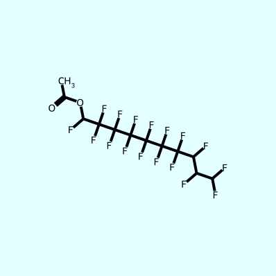 CC(=O)OC(F)C(F)(F)C(F)(F)C(F)(F)C(F)(F)C(F)(F)C(F)(F)C(F)C(F)C(F)F